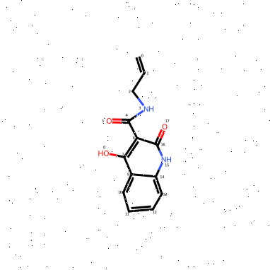 C=CCNC(=O)c1c(O)c2ccccc2[nH]c1=O